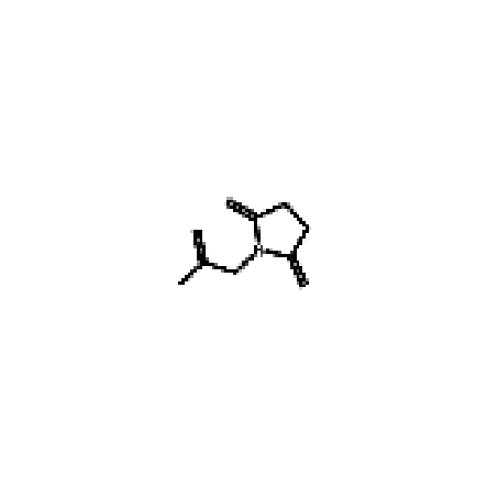 C=C(C)CN1C(=C)CCC1=C